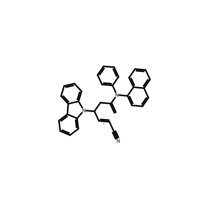 C=C(CC(/C=C/C#N)n1c2ccccc2c2ccccc21)N(c1ccccc1)c1cccc2ccccc12